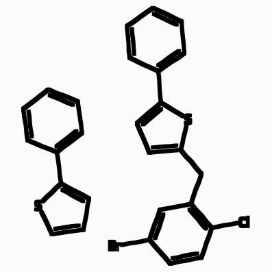 Clc1ccc(Br)cc1Cc1ccc(-c2ccccc2)s1.c1ccc(-c2cccs2)cc1